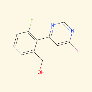 OCc1cccc(F)c1-c1cc(I)ncn1